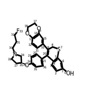 Oc1ccc2c(c1)SCC(c1ccc3c(c1)OCCO3)=C2c1ccc(O[C@H]2CCN(CCCF)C2)cc1